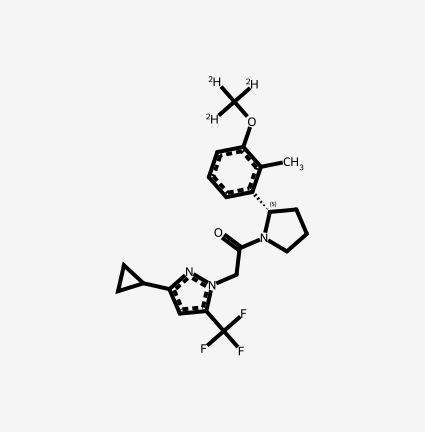 [2H]C([2H])([2H])Oc1cccc([C@@H]2CCCN2C(=O)Cn2nc(C3CC3)cc2C(F)(F)F)c1C